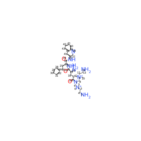 C[N+](C)(CCN)CN(C[N+](C)(C)CCN)C(=O)CC[C@H](N)C(=O)N[C@@H](CCc1ccccc1)C(=O)Nc1cnc2ccccc2c1